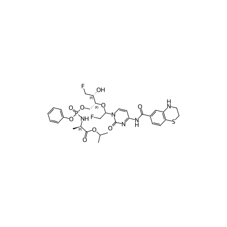 CC(C)OC(=O)[C@@H](C)NP(=O)(OC[C@@H](OC(CF)n1ccc(NC(=O)c2ccc3c(c2)NCCS3)nc1=O)[C@@H](O)CF)Oc1ccccc1